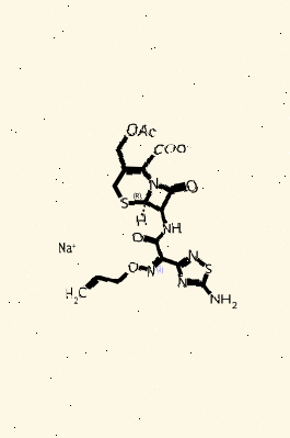 C=CCO/N=C(\C(=O)NC1C(=O)N2C(C(=O)[O-])=C(COC(C)=O)CS[C@H]12)c1nsc(N)n1.[Na+]